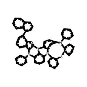 c1ccc(N2c3ccc4c(c3)N(c3ccccc3Sc3ccccc32)c2cccc3c2B4c2sc4c(-c5cccc6ccccc56)cccc4c2N3c2ccccc2)cc1